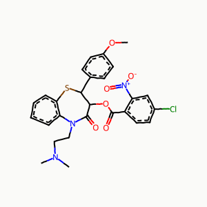 COc1ccc(C2Sc3ccccc3N(CCN(C)C)C(=O)C2OC(=O)c2ccc(Cl)cc2[N+](=O)[O-])cc1